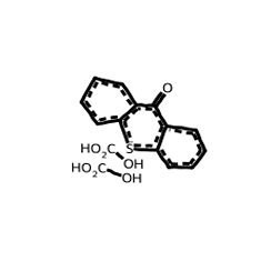 O=C(O)O.O=C(O)O.O=c1c2ccccc2sc2ccccc12